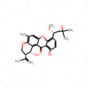 C=C(C)[C@H]1COc2c(C)cc3oc4c([C@H](OC)[C@@H]5OC5(C)C)ccc(O)c4c(=O)c3c2[C@@H]1O